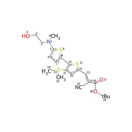 CN(CCO)c1cc2c(s1)-c1sc(/C=C(\C#N)C(=O)OC(C)(C)C)cc1S2(C)C